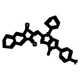 Cn1c(-c2ccc(F)cc2)cc2c1nc(C=C1C(=O)c3cc4ccccc4cc3C1=O)n2-c1ccccc1